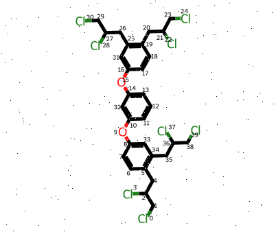 ClCC(Cl)Cc1ccc(Oc2cccc(Oc3ccc(CC(Cl)CCl)c(CC(Cl)CCl)c3)c2)cc1CC(Cl)CCl